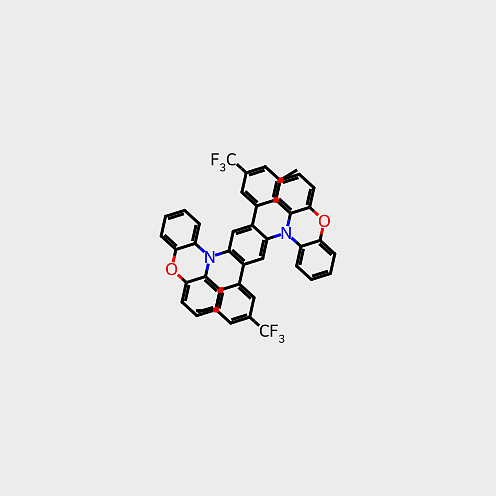 Cc1cc(-c2cc(N3c4ccccc4Oc4ccccc43)c(-c3cc(C)cc(C(F)(F)F)c3)cc2N2c3ccccc3Oc3ccccc32)cc(C(F)(F)F)c1